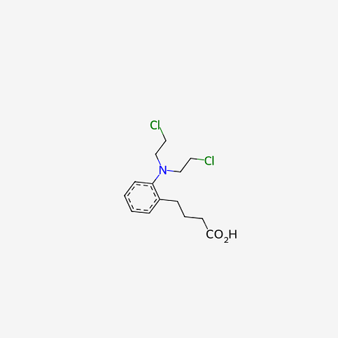 O=C(O)CCCc1ccccc1N(CCCl)CCCl